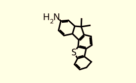 CC1(C)c2ccc3c4c(sc3c2C2C=CC(N)=CC21)C=CCC4